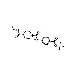 CCOC(=O)C1CCN(C(=O)Nc2ccc(C(=O)OC(C)(C)C)cc2)CC1